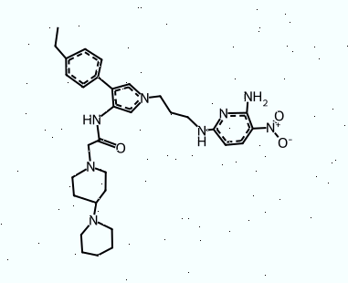 CCc1ccc(-c2cn(CCCNc3ccc([N+](=O)[O-])c(N)n3)cc2NC(=O)CN2CCC(N3CCCCC3)CC2)cc1